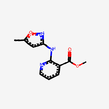 COC(=O)c1cccnc1Nc1cc(C)on1